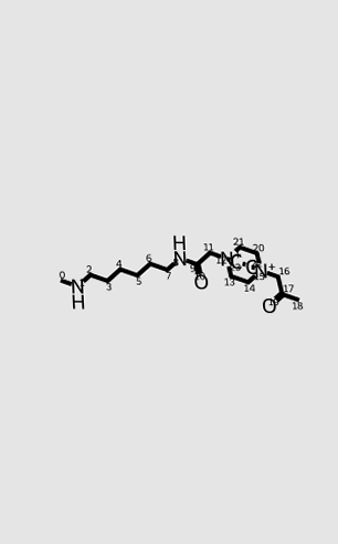 CNCCCCCCNC(=O)C[N+]12CC[N+](CC(C)=O)(CC1)CC2